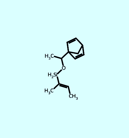 CC=C(C)[SiH2]OC(C)C12C=CC(C=C1)C2